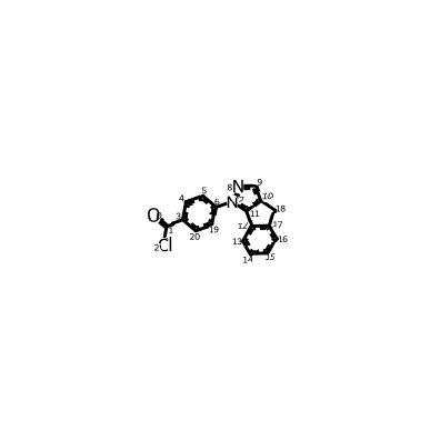 O=C(Cl)c1ccc(-n2ncc3c2-c2ccccc2C3)cc1